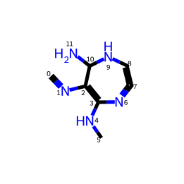 C=NC1=C(NC)N=C=CNC1N